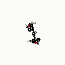 C=C(C)[C@H]1CCC=C[C@@H]1c1c(CCCO[N+](=O)OCCCc2cc(O)c(C)c(O)c2[C@H]2C=CCC[C@@H]2C(=C)C)cc(O)c(C)c1O